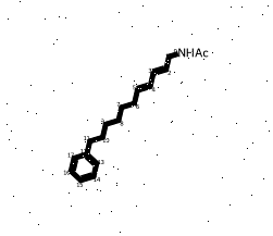 CC(=O)NC/C=C/C=C/CCCCCCc1ccccc1